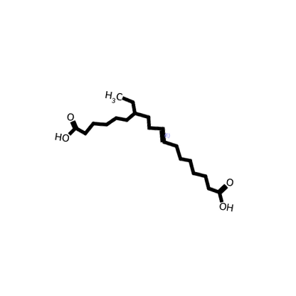 CCC(CC/C=C/CCCCCCC(=O)O)CCCCCC(=O)O